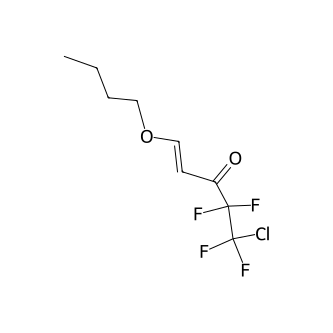 CCCCO/C=C/C(=O)C(F)(F)C(F)(F)Cl